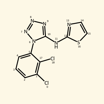 Clc1cccc(-n2nnnc2Nc2nccs2)c1Cl